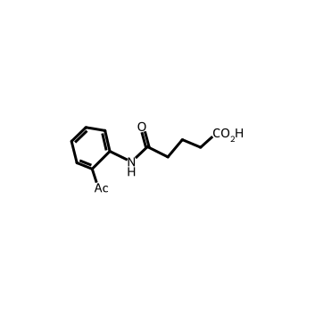 CC(=O)c1ccccc1NC(=O)CCCC(=O)O